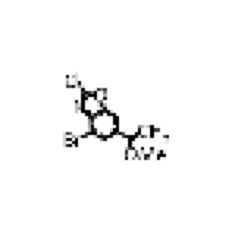 C=C(OC)c1cc(Br)c2nc(Cl)oc2c1